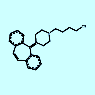 N#CCCCCN1CCC(=C2c3ccccc3C=Cc3ccccc32)CC1